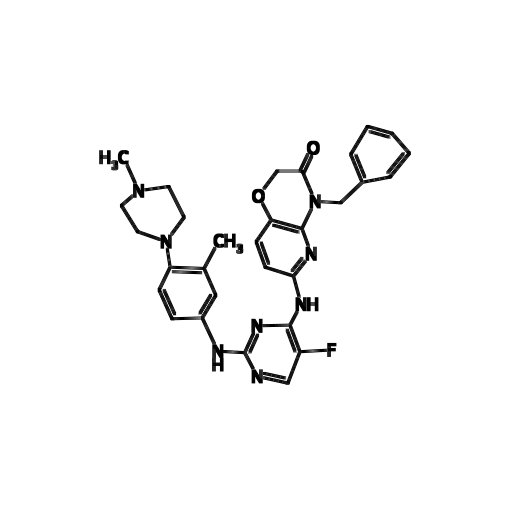 Cc1cc(Nc2ncc(F)c(Nc3ccc4c(n3)N(Cc3ccccc3)C(=O)CO4)n2)ccc1N1CCN(C)CC1